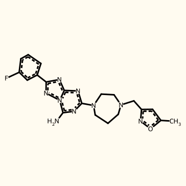 Cc1cc(CN2CCCN(c3nc(N)n4nc(-c5cccc(F)c5)nc4n3)CC2)no1